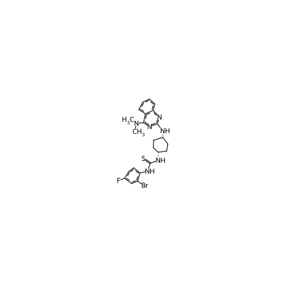 CN(C)c1nc(N[C@H]2CC[C@@H](NC(=S)Nc3ccc(F)cc3Br)CC2)nc2ccccc12